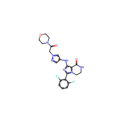 O=C1NCCn2c(-c3c(F)cccc3F)nc(Nc3cnn(CC(=O)N4CCOCC4)c3)c21